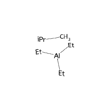 CC(C)C.C[CH2][Al]([CH2]C)[CH2]C